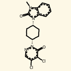 Cn1c(=O)n([C@H]2CC[C@@H](n3ncc(Cl)c(Cl)c3=O)CC2)c2ccccc21